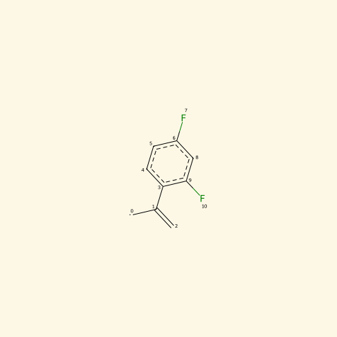 [CH2]C(=C)c1ccc(F)cc1F